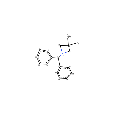 CCCC1(C)CN(C(c2ccccc2)c2ccccc2)C1